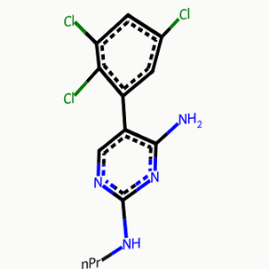 CCCNc1ncc(-c2cc(Cl)cc(Cl)c2Cl)c(N)n1